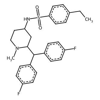 CCc1ccc(S(=O)(=O)NC2CCN(C)C(C(c3ccc(F)cc3)c3ccc(F)cc3)C2)cc1